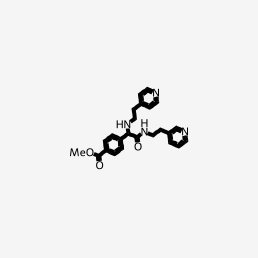 COC(=O)c1ccc(C(NCCc2ccncc2)C(=O)NCCc2cccnc2)cc1